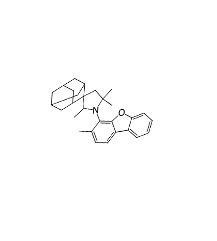 Cc1ccc2c(oc3ccccc32)c1N1C(C)C2(CC1(C)C)C1CC3CC(C1)CC2C3